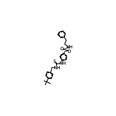 CC(C)(C)c1ccc(CNC(=S)Nc2ccc(S(=O)(=O)NCCc3ccccc3)cc2)cc1